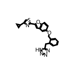 c1ccc(Cc2nnn[nH]2)c(COc2ccc3oc(-c4nc(C5CC5)cs4)cc3c2)c1